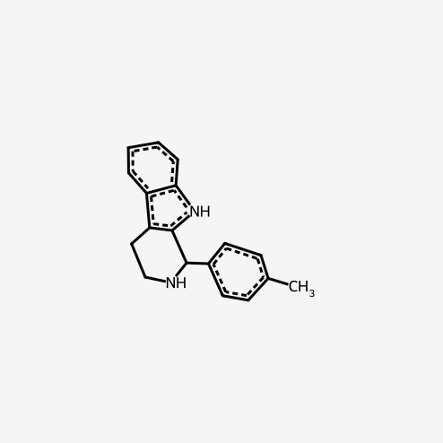 Cc1ccc(C2NCCc3c2[nH]c2ccccc32)cc1